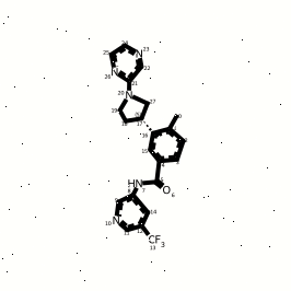 Cc1ccc(C(=O)Nc2cncc(C(F)(F)F)c2)cc1[C@@H]1CCN(c2cnccn2)C1